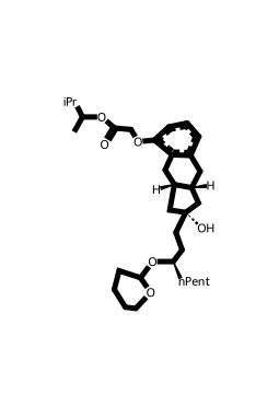 CCCCC[C@H](CC[C@]1(O)C[C@H]2Cc3cccc(OCC(=O)OC(C)C(C)C)c3C[C@H]2C1)OC1CCCCO1